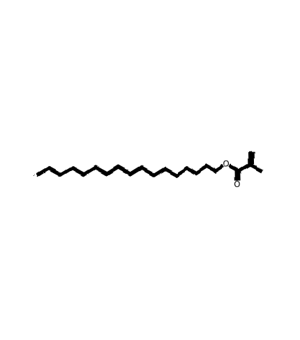 [CH2]CCCCCCCCCCCCCCC[CH]OC(=O)C(=C)C